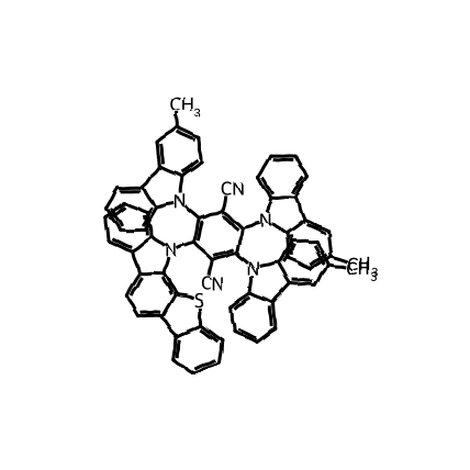 Cc1ccc2c(c1)c1ccccc1n2-c1c(C#N)c(-n2c3ccccc3c3cc(C)ccc32)c(-n2c3ccccc3c3ccc4c5ccccc5sc4c32)c(C#N)c1-n1c2ccccc2c2cc(C)ccc21